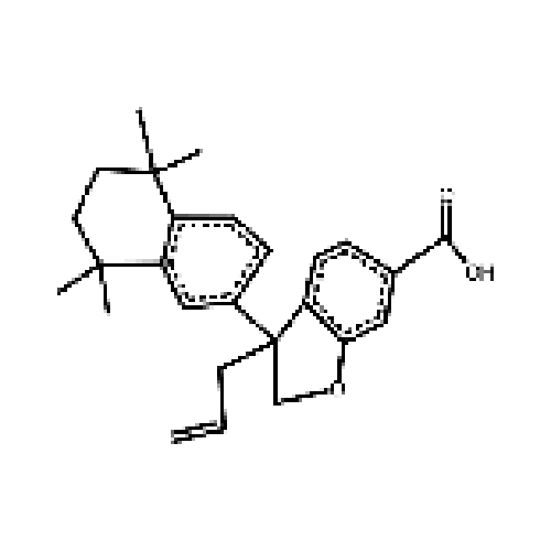 C=CCC1(c2ccc3c(c2)C(C)(C)CCC3(C)C)COc2cc(C(=O)O)ccc21